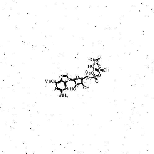 COc1nc(N)nc2c1ncn2C1OC(COP(=O)(OC)OP(=O)(O)OP(=O)(O)O)C(O)C1O